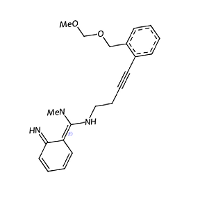 CN/C(NCCC#Cc1ccccc1COCOC)=C1/C=CC=CC1=N